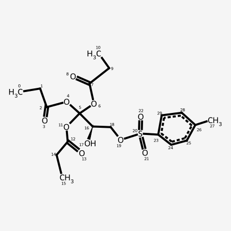 CCC(=O)OC(OC(=O)CC)(OC(=O)CC)[C@H](O)COS(=O)(=O)c1ccc(C)cc1